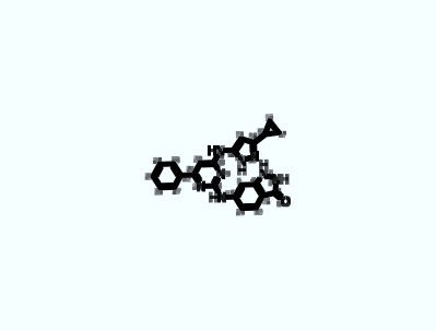 O=c1[nH][nH]c2cc(Nc3nc(Nc4cc(C5CC5)n[nH]4)cc(-c4ccccc4)n3)ccc12